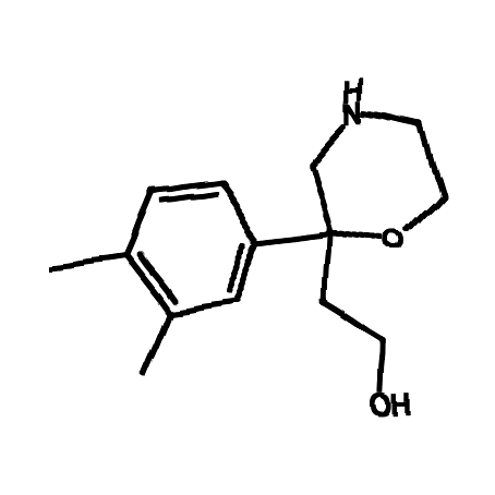 Cc1ccc(C2(CCO)CNCCO2)cc1C